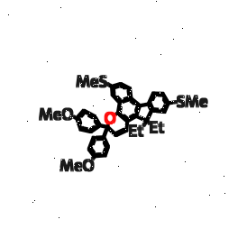 CCC1(CC)c2cc(SC)ccc2-c2c1c1c(c3cc(SC)ccc23)OC(c2ccc(OC)cc2)(c2ccc(OC)cc2)C=C1